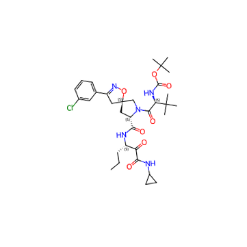 CCC[C@H](NC(=O)[C@@H]1C[C@]2(CC(c3cccc(Cl)c3)=NO2)CN1C(=O)[C@@H](NC(=O)OC(C)(C)C)C(C)(C)C)C(=O)C(=O)NC1CC1